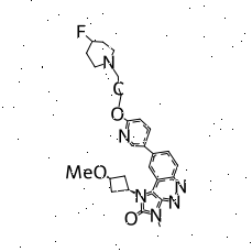 CO[C@H]1C[C@@H](n2c(=O)n(C)c3nnc4ccc(-c5ccc(OCCCN6CCC(F)CC6)nc5)cc4c32)C1